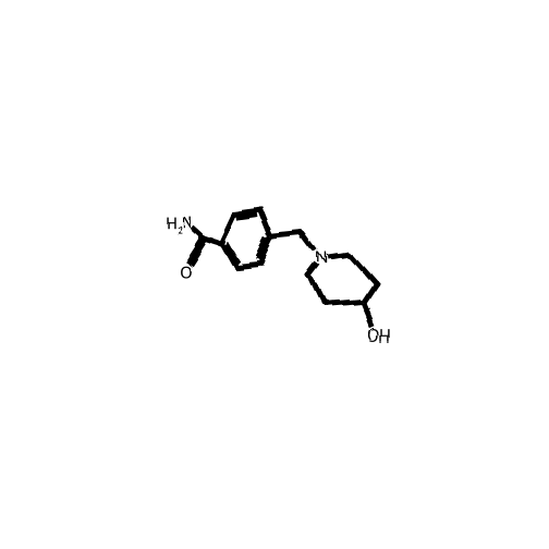 NC(=O)c1ccc(CN2CCC(O)CC2)cc1